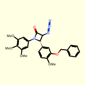 COc1ccc([C@H]2C(N=[N+]=[N-])C(=O)N2c2cc(OC)c(OC)c(OC)c2)cc1OCc1ccccc1